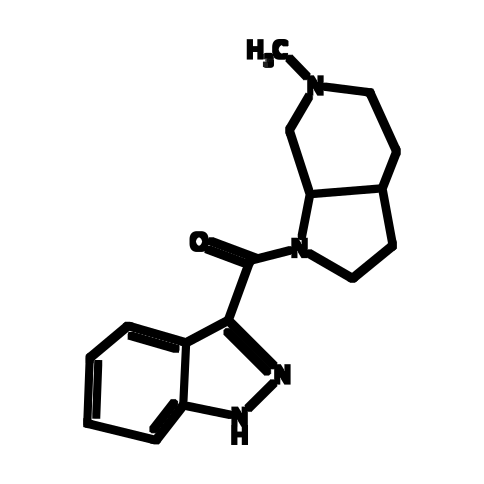 CN1CCC2CCN(C(=O)c3n[nH]c4ccccc34)C2C1